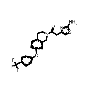 Nc1nc(CC(=O)N2CCc3ccc(Oc4ccc(C(F)(F)F)cc4)cc3C2)cs1